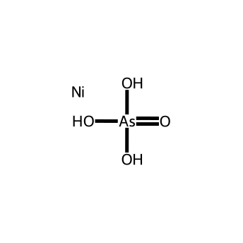 O=[As](O)(O)O.[Ni]